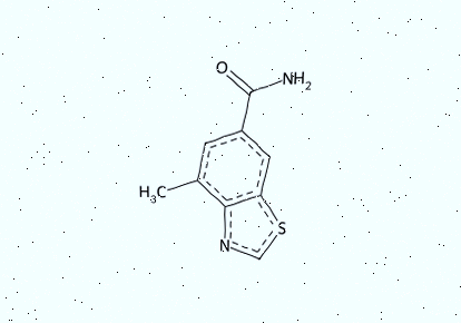 Cc1cc(C(N)=O)cc2scnc12